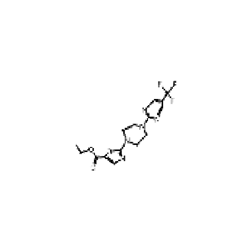 CCOC(=O)c1cnc(N2CCN(c3ncc(C(F)(F)F)cn3)CC2)o1